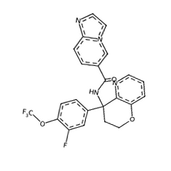 O=C(NC1(c2ccc(OC(F)(F)F)c(F)c2)CCOc2cccnc21)c1ccc2nccn2c1